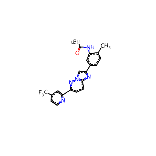 Cc1ccc(-c2cn3nc(-c4cc(C(F)(F)F)ccn4)ccc3n2)cc1NC(=O)C(C)(C)C